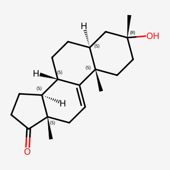 C[C@@]1(O)CC[C@]2(C)C3=CC[C@]4(C)C(=O)CC[C@H]4[C@@H]3CC[C@H]2C1